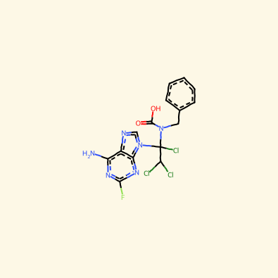 Nc1nc(F)nc2c1ncn2C(Cl)(C(Cl)Cl)N(Cc1ccccc1)C(=O)O